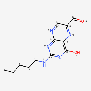 CCCCCNc1nc(O)c2nc(C=O)cnc2n1